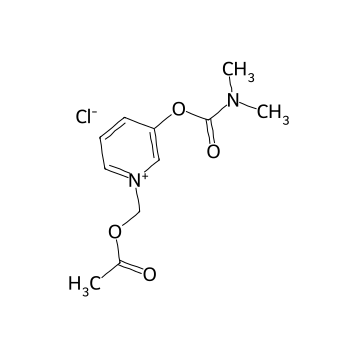 CC(=O)OC[n+]1cccc(OC(=O)N(C)C)c1.[Cl-]